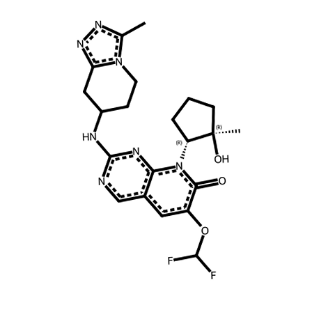 Cc1nnc2n1CCC(Nc1ncc3cc(OC(F)F)c(=O)n([C@@H]4CCC[C@@]4(C)O)c3n1)C2